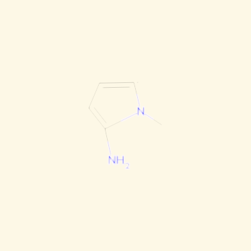 Cn1[c]ccc1N